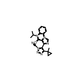 CC(C)n1c(=O)c2c(-c3c(C4(C)CC4)nnn3C#N)ncn2c2ccccc21